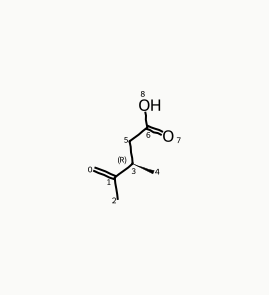 C=C(C)[C@H](C)CC(=O)O